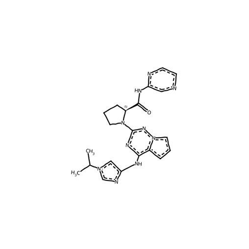 CC(C)n1cnc(Nc2nc(N3CCC[C@H]3C(=O)Nc3cnccn3)nn3cccc23)c1